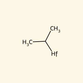 C[CH](C)[Hf]